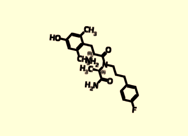 Cc1cc(O)cc(C)c1C[C@@H](N)C(=O)N(CCCc1ccc(F)cc1)[C@H](C)C(N)=O